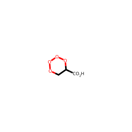 O=C(O)C1COOOO1